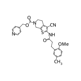 COc1ccc(C)cc1CCC(=O)Nc1sc2c(c1C#N)CCN(C(=O)OCc1ccncc1)C2